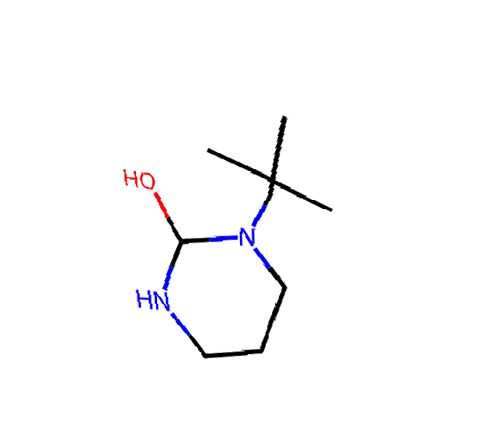 CC(C)(C)N1CCCNC1O